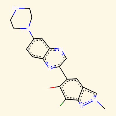 Cn1cc2cc(-c3cnc4cc(N5CCNCC5)ccc4n3)c(O)c(F)c2n1